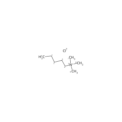 CCCCC[N+](C)(C)C.[Cl-]